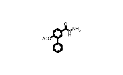 CC(=O)Oc1ccc(C(=O)NN)cc1-c1ccccc1